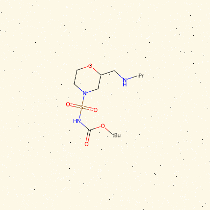 CC(C)NCC1CN(S(=O)(=O)NC(=O)OC(C)(C)C)CCO1